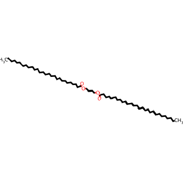 CCCCCCCCCCCCCCCCCCCCCCCCCCCC(=O)OCCCCOC(=O)CCCCCCCCCCCCCCCCCCCCCCCCCCC